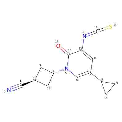 N#C[C@H]1C[C@H](n2cc(C3CC3)cc(N=C=S)c2=O)C1